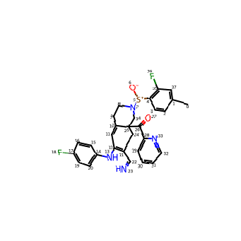 Cc1ccc([S+]([O-])N2CCC3=CC(Nc4ccc(F)cc4)=C(C=N)CC3(C(=O)c3ccccn3)C2)c(F)c1